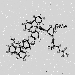 C=CCC(CCC)C1(c2ccc(Oc3ccc(C4(C#Cc5cc(C#CC(CC)CCC(C)C(C)C)cc(OC)c5)c5ccccc5-c5ccccc54)cc3)cc2)c2ccccc2-c2ccccc21